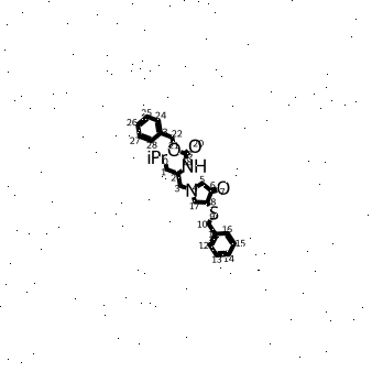 CC(C)CC(CN1CC(=O)C(SCc2ccccc2)C1)NC(=O)OCc1ccccc1